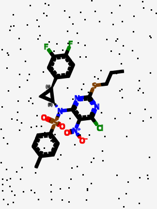 CCCSc1nc(Cl)c([N+](=O)[O-])c(N([C@@H]2C[C@H]2c2ccc(F)c(F)c2)S(=O)(=O)c2ccc(C)cc2)n1